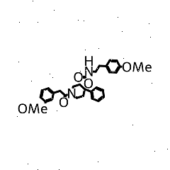 COc1ccc(CCNC(=O)OC2(c3ccccc3)CCN(C(=O)Cc3cccc(OC)c3)CC2)cc1